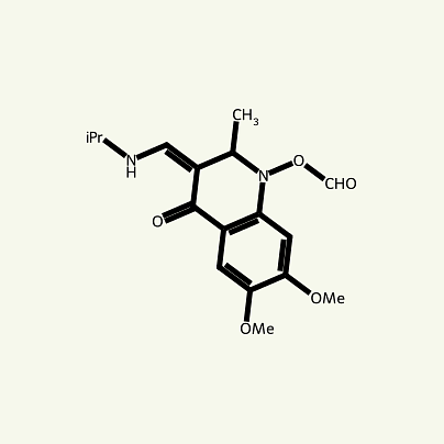 COc1cc2c(cc1OC)N(OC=O)C(C)C(=CNC(C)C)C2=O